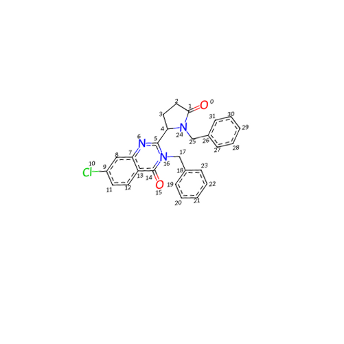 O=C1CCC(c2nc3cc(Cl)ccc3c(=O)n2Cc2ccccc2)N1Cc1ccccc1